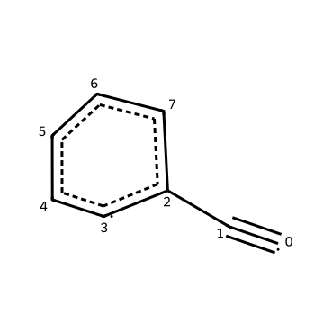 [C]#Cc1[c]cccc1